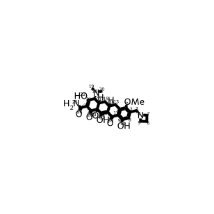 COc1c(CN2CCC2)cc(O)c2c1C[C@H]1C[C@H]3[C@H](N(C)C)C(O)=C(C(N)=O)C(=O)[C@@]3(O)C(O)=C1C2=O